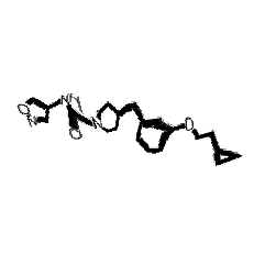 O=C(Nc1cnoc1)N1CCC(=Cc2cccc(OCCC3CC3)c2)CC1